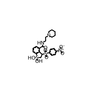 O=C(NCCN1CCCCC1)c1cccc2c1C(S(=O)(=O)c1ccc([N+](=O)[O-])cc1)CS2(O)O